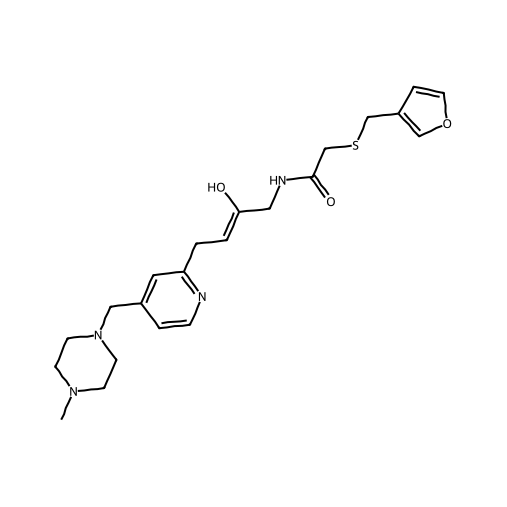 CN1CCN(Cc2ccnc(CC=C(O)CNC(=O)CSCc3ccoc3)c2)CC1